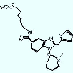 C[C@@H]1CCCC[C@H]1n1c(Cc2cccs2)nc2cc(C(=O)NCCCCC(=O)O)ccc21